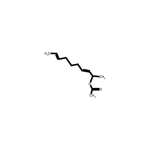 CC=CCCCC=CC(C)OC(C)=O